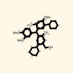 COc1ccc(C(c2cc(C3CCCCC3)c(CO)cc2C)c2cc(C3CCCCC3)c(OC)cc2C)cc1OC